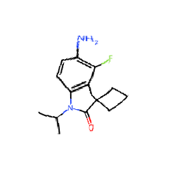 CC(C)N1C(=O)C2(CCC2)c2c1ccc(N)c2F